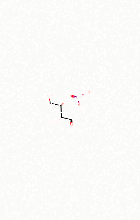 O=CC(O)C(O)CO.O=[PH](O)O